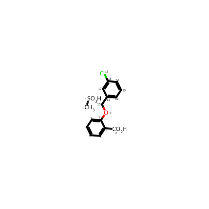 CS(=O)(=O)O.O=C(O)c1ccccc1OCc1cccc(Cl)c1